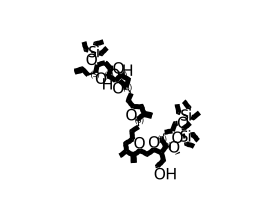 C=CC[C@@H]1O[C@@H]2C3O[C@@H]4C[C@](CCC5CC(=C)[C@H](CCC6CC(C)C(=C)C(CC7O[C@H](CC(CO[Si](CC)(CC)CC)O[Si](CC)(CC)CC)[C@H](OC)C7CCO)O6)O5)(OC3C1O[Si](CC)(CC)CC)OC24